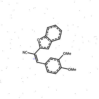 COc1ccc(/C=C(/C#N)c2cc3ccccc3o2)cc1OC